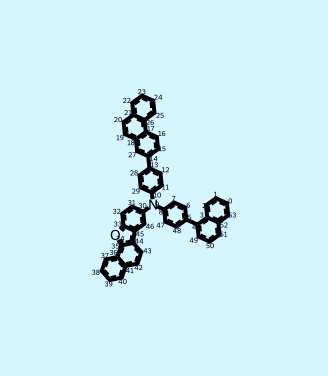 c1ccc2c(-c3ccc(N(c4ccc(-c5ccc6c(ccc7ccccc76)c5)cc4)c4ccc5oc6c7ccccc7ccc6c5c4)cc3)cccc2c1